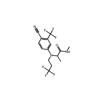 CNC(=O)C(C)N(CCC(F)(F)F)c1ccc(C#N)c(C(F)(F)F)c1